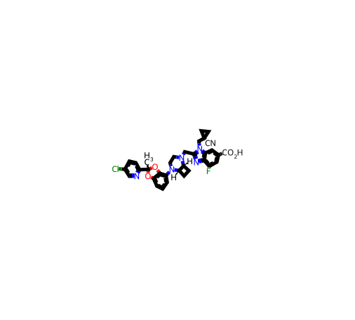 C[C@]1(c2ccc(Cl)cn2)Oc2cccc(N3CCN(Cc4nc5c(F)cc(C(=O)O)cc5n4CC4(C#N)CC4)[C@H]4CC[C@H]43)c2O1